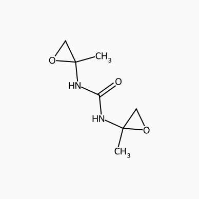 CC1(NC(=O)NC2(C)CO2)CO1